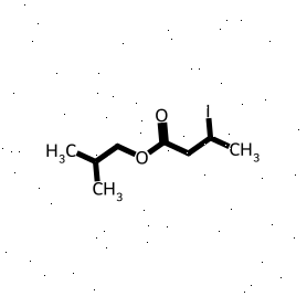 CC(C)COC(=O)CC(C)I